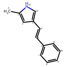 Cc1cc(C=Cc2ccccc2)c[nH]1